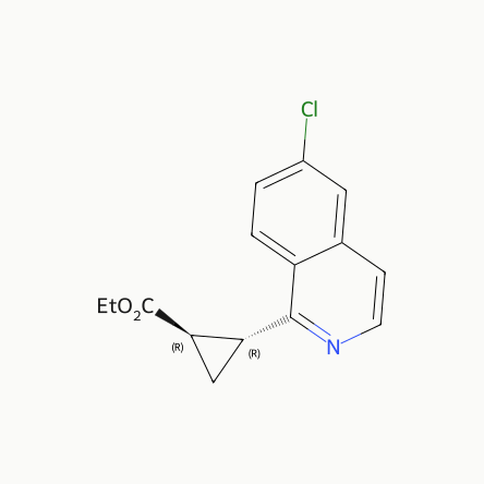 CCOC(=O)[C@@H]1C[C@H]1c1nccc2cc(Cl)ccc12